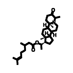 CC(C)=CCCC(C)CC(=O)OC(C)[C@H]1CC[C@H]2[C@@H]3CCN4C(C)C(=O)CC[C@]4(C)[C@H]3CC[C@]12C